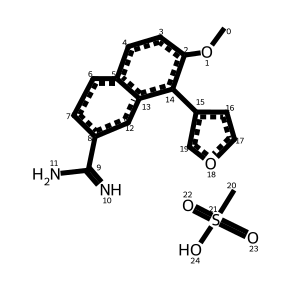 COc1ccc2ccc(C(=N)N)cc2c1-c1ccoc1.CS(=O)(=O)O